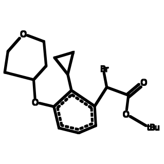 CC(C)(C)OC(=O)C(Br)c1cccc(OC2CCOCC2)c1C1CC1